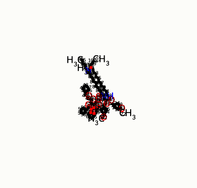 CCCCCCCCCCCCCC[C@@H](OCc1ccc(OC)cc1)[C@@H](OCc1ccc(OC)cc1)[C@H](CO[C@H]1OC(COCc2ccccc2)[C@H](OCc2ccccc2)[C@H](OCc2ccccc2)[C@H]1OCc1ccccc1)NC(=O)CCCCCCCCCCN(CCCCC)CCCCC